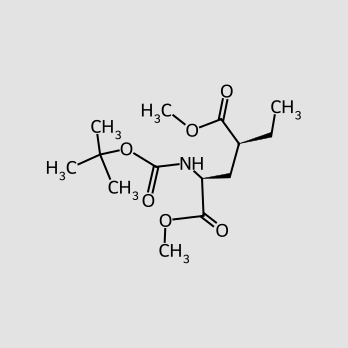 CC[C@@H](C[C@H](NC(=O)OC(C)(C)C)C(=O)OC)C(=O)OC